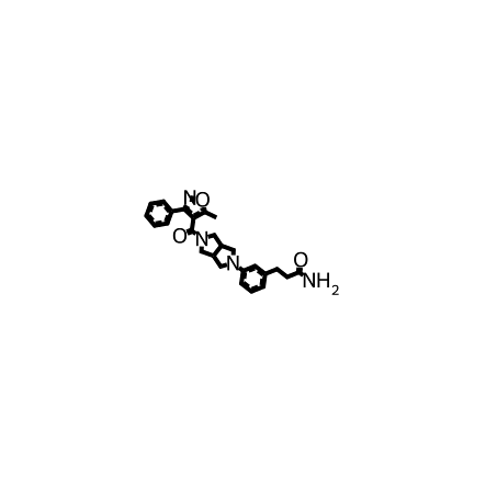 Cc1onc(-c2ccccc2)c1C(=O)N1CC2CN(c3cccc(CCC(N)=O)c3)CC2C1